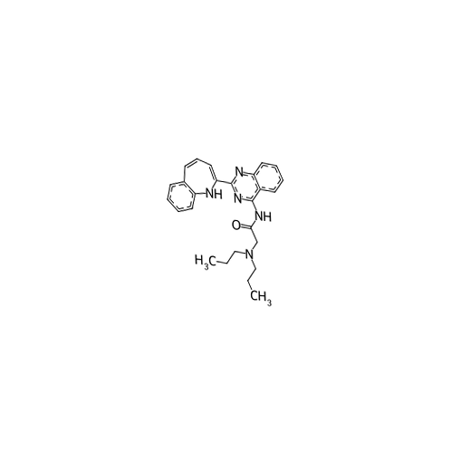 CCCN(CCC)CC(=O)Nc1nc(C2=CC=Cc3ccccc3N2)nc2ccccc12